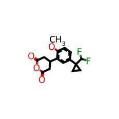 COc1ccc(C2(C(F)F)CC2)cc1C1CC(=O)OC(=O)C1